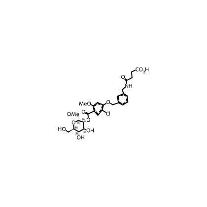 COc1cc(OCc2cccc(CNC(=O)CCC(=O)O)c2)c(Cl)cc1C(=O)O[C@H]1[C@@H](OC)O[C@H](CO)[C@@H](O)[C@@H]1O